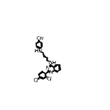 N#Cc1ccc(NCCCCNc2nc(-c3ccc(Cl)cc3Cl)nc3ccccc23)cc1